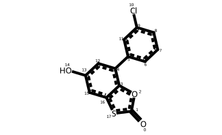 O=c1oc2c(-c3cccc(Cl)c3)cc(O)cc2s1